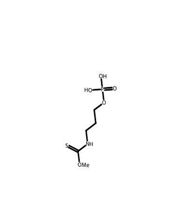 COC(=S)NCCCOP(=O)(O)O